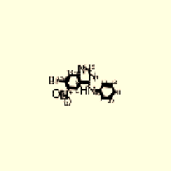 O=[N+]([O-])c1cc2c(Nc3ccccc3)ncnc2cc1Br